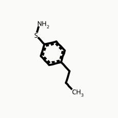 CCCc1ccc(SN)cc1